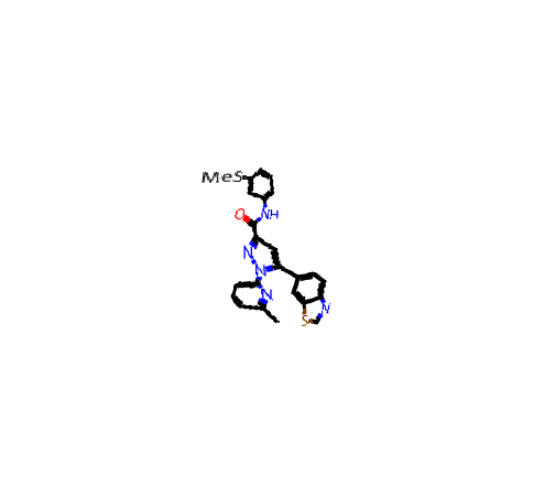 CSc1cccc(NC(=O)c2cc(-c3ccc4ncsc4c3)n(-c3cccc(C)n3)n2)c1